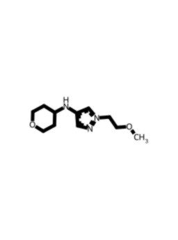 COCCn1cc(NC2CCOCC2)cn1